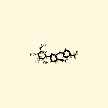 N#Cc1ccc([C@@H]2O[C@H](CO)[C@@H](O)[C@H](O)[C@H]2O)cc1Cc1ccc(C(F)F)cc1